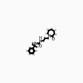 CC(C)(NC(=O)NCCCN1CCCCCC1=O)c1ccccc1